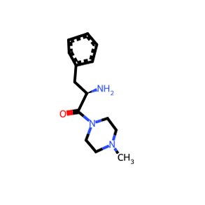 CN1CCN(C(=O)[C@H](N)Cc2ccccc2)CC1